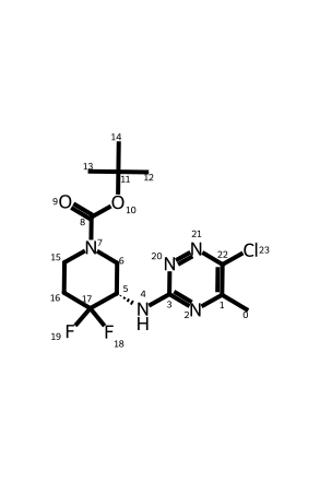 Cc1nc(N[C@H]2CN(C(=O)OC(C)(C)C)CCC2(F)F)nnc1Cl